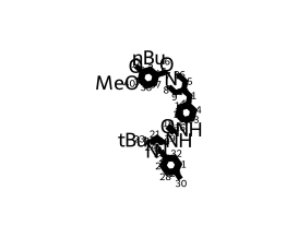 CCCCOc1cc(C(=O)N2CCC(Cc3ccc(NC(=O)Nc4cc(C(C)(C)C)nn4-c4ccc(C)cc4)cc3)CC2)ccc1OC